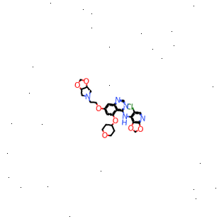 Clc1cnc2c(c1Nc1ncnc3cc(OCCN4CC5OCOC5C4)cc(OC4CCOCC4)c13)OCO2